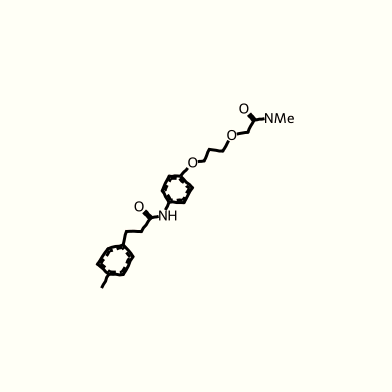 CNC(=O)COCCCOc1ccc(NC(=O)CCc2ccc(C)cc2)cc1